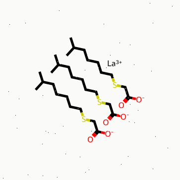 CC(C)CCCCCSCC(=O)[O-].CC(C)CCCCCSCC(=O)[O-].CC(C)CCCCCSCC(=O)[O-].[La+3]